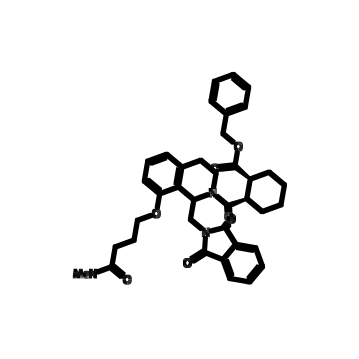 CNC(=O)CCCOc1cccc2c1C(CN1C(=O)c3ccccc3C1=O)N(C(=O)[C@@H]1CCCC[C@@H]1C(=O)OCc1ccccc1)CC2